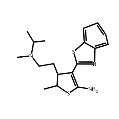 CC1SC(N)=C(c2nc3ccccc3s2)C1CCN(C)C(C)C